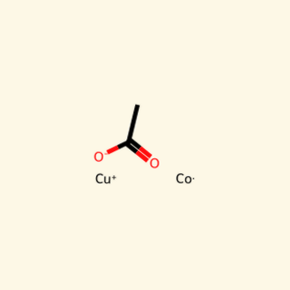 CC(=O)[O-].[Co].[Cu+]